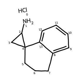 Cl.NC1CC12CCCc1ccccc12